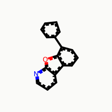 c1ccc(-c2cccc3c2oc2ncccc23)cc1